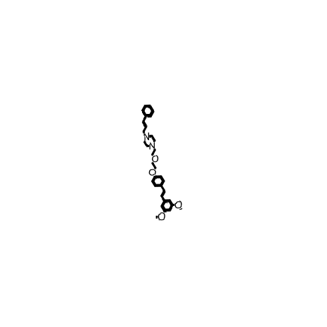 COc1cc(/C=C/c2ccc(OCCOCCN3CCN(CC=Cc4ccccc4)CC3)cc2)cc(OC)c1